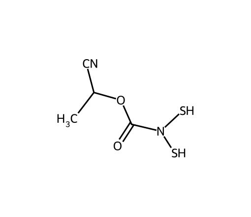 CC(C#N)OC(=O)N(S)S